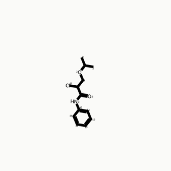 CC(C)OCC(Cl)C(=O)Nc1ccccc1